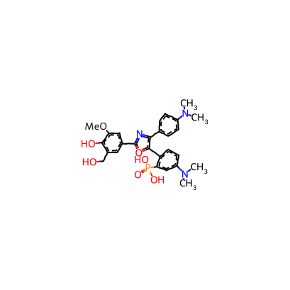 COc1cc(-c2nc(-c3ccc(N(C)C)cc3)c(-c3ccc(N(C)C)cc3P(=O)(O)O)o2)cc(CO)c1O